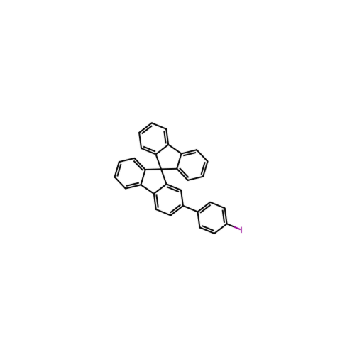 Ic1ccc(-c2ccc3c(c2)C2(c4ccccc4-c4ccccc42)c2ccccc2-3)cc1